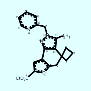 CCOC(=O)c1cc2c(o1)CC1(CCC1)c1c-2nn(Cc2ccccn2)c1C